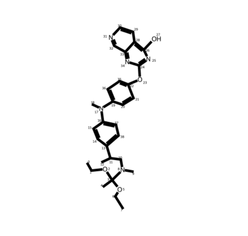 CCOC(C)(OCC)N(C)CC(C)c1ccc(N(C)c2ccc(Oc3nc(O)c4ccncc4n3)cc2)cc1